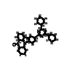 [O-][S+]1c2ccccc2-n2c3ccc(-c4nc(-c5ccccc5)nc(-c5ccccc5)n4)cc3c3cccc1c32